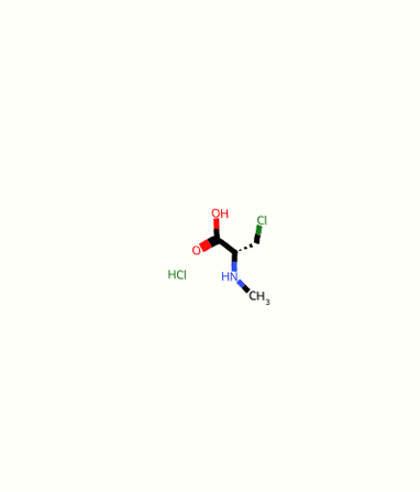 CN[C@@H](CCl)C(=O)O.Cl